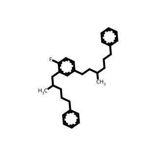 CC(CCCc1ccccc1)CCc1ccc(F)c(CC(C)CCCc2ccccc2)c1